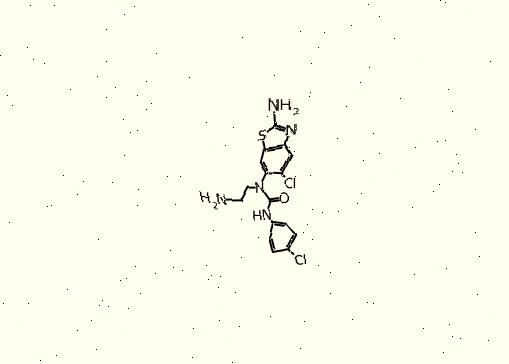 NCCN(C(=O)Nc1ccc(Cl)cc1)c1cc2sc(N)nc2cc1Cl